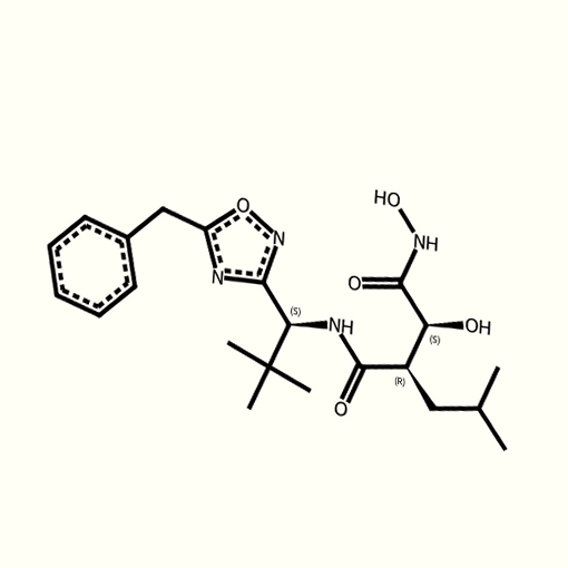 CC(C)C[C@@H](C(=O)N[C@H](c1noc(Cc2ccccc2)n1)C(C)(C)C)[C@H](O)C(=O)NO